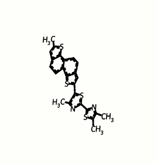 Cc1cc2ccc3c(ccc4cc(-c5sc(-c6nc(C)c(C)s6)nc5C)sc43)c2s1